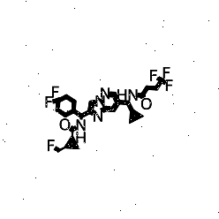 O=C(CCC(F)(F)F)N[C@@H](c1cnn2cc([C@@H](NC(=O)[C@H]3C[C@H]3CF)C3CCC(F)(F)CC3)nc2c1)C1CC1